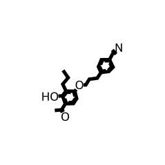 CCCc1c(OCCCc2ccc(C#N)cc2)ccc(C(C)=O)c1O